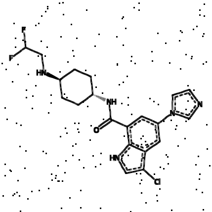 O=C(N[C@H]1CC[C@H](NCC(F)F)CC1)c1cc(-n2ccnc2)cc2c(Cl)c[nH]c12